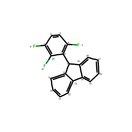 Fc1[c]cc(F)c(C2c3ccccc3-c3ccccc32)c1F